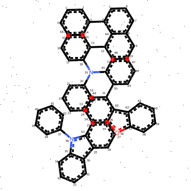 c1ccc(-c2cccc3cccc(-c4ccccc4N(c4cccc(-c5cccc6c7ccccc7n(-c7ccccc7)c56)c4)c4ccccc4-c4cccc5oc6ccccc6c45)c23)cc1